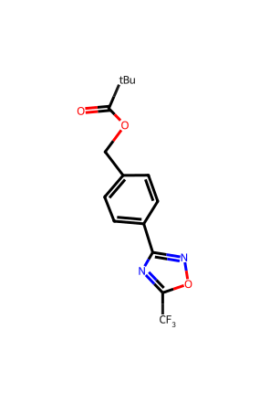 CC(C)(C)C(=O)OCc1ccc(-c2noc(C(F)(F)F)n2)cc1